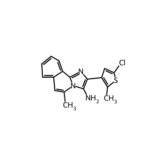 Cc1sc(Cl)cc1-c1nc2c3ccccc3cc(C)n2c1N